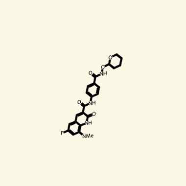 CNc1cc(F)cc2cc(C(=O)Nc3ccc(C(=O)NOC4CCCCO4)cc3)c(=O)[nH]c12